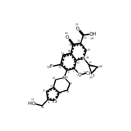 COc1c(N2CCc3sc(CO)cc3C2)c(F)cc2c(=O)c(C(=O)O)cn(C3CC3)c12